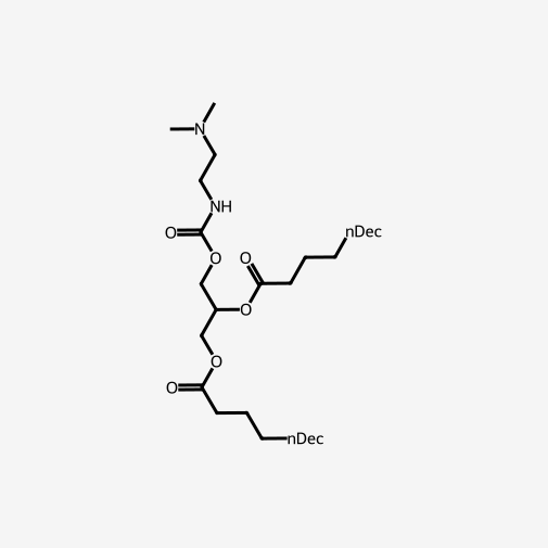 CCCCCCCCCCCCCC(=O)OCC(COC(=O)NCCN(C)C)OC(=O)CCCCCCCCCCCCC